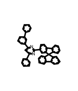 c1ccc(-c2cccc(-c3cc(-c4ccccc4)nc(-c4ccc5c(c4)C4(c6ccccc6-c6ccccc64)c4ccccc4-5)n3)c2)cc1